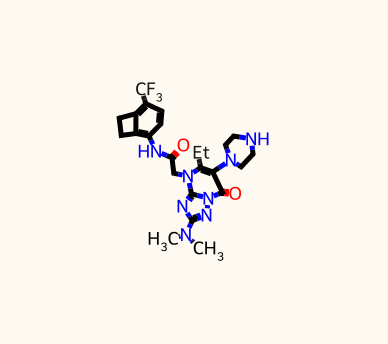 CCc1c(N2CCNCC2)c(=O)n2nc(N(C)C)nc2n1CC(=O)Nc1ccc(C(F)(F)F)c2c1CC2